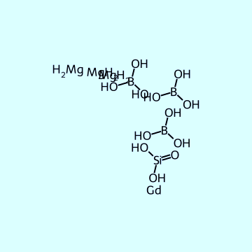 O=[Si](O)O.OB(O)O.OB(O)O.OB(O)O.[Gd].[MgH2].[MgH2].[MgH2]